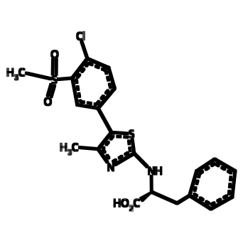 Cc1nc(N[C@@H](Cc2ccccc2)C(=O)O)sc1-c1ccc(Cl)c(S(C)(=O)=O)c1